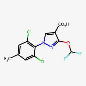 O=C(O)c1cn(-c2c(Cl)cc(C(F)(F)F)cc2Cl)nc1OC(F)F